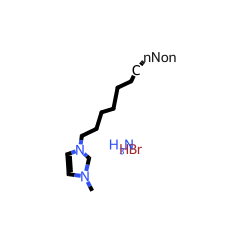 Br.CCCCCCCCCCCCCCCCN1C=CN(C)C1.N